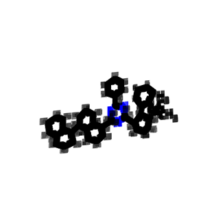 C[Si]1(C)c2ccccc2-c2c(-c3nc(-c4ccccc4)nc(-c4cccc5c(-c6cccc7ccccc67)cccc45)n3)cccc21